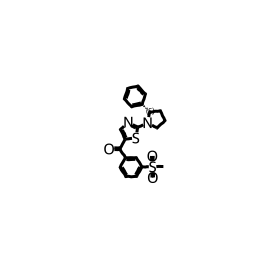 CS(=O)(=O)c1cccc(C(=O)c2cnc(N3CCC[C@H]3c3ccccc3)s2)c1